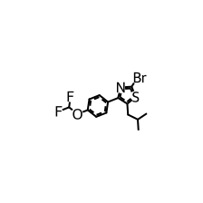 CC(C)Cc1sc(Br)nc1-c1ccc(OC(F)F)cc1